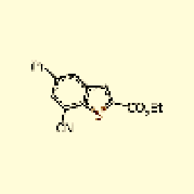 CCOC(=O)c1cc2cc(C(C)C)cc(C#N)c2s1